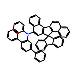 c1ccc(-c2ccc(-c3ccccc3)c(N(c3ccccc3)c3cc4c(c5ccccc35)-c3ccc5ccccc5c3C43c4ccccc4-c4ccccc43)c2)cc1